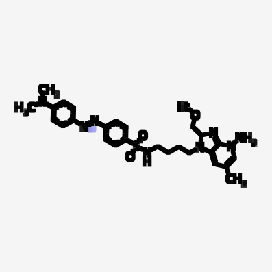 CCOCC1N=C2C(=CC(C)=CN2N)N1CCCCNS(=O)(=O)c1ccc(/N=N/c2ccc(N(C)C)cc2)cc1